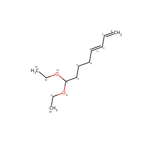 C=C/C=C/CCCC(OCC)OCC